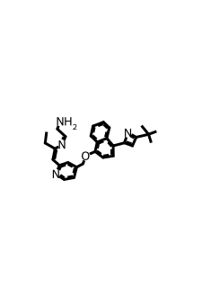 CCC(=Cc1cc(COc2ccc(C3=CC(C(C)(C)C)=N3)c3ccccc23)ccn1)/N=C\CN